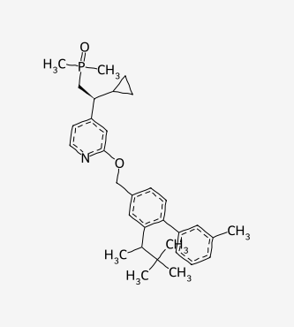 Cc1cccc(-c2ccc(COc3cc([C@@H](CP(C)(C)=O)C4CC4)ccn3)cc2C(C)C(C)(C)C)c1